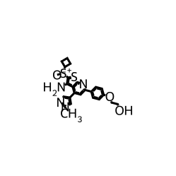 Cn1cc(-c2cc(-c3ccc(OCCO)cc3)nc3sc([S+]([O-])C4CCC4)c(N)c23)cn1